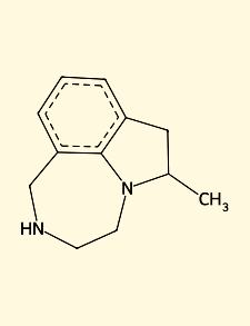 CC1Cc2cccc3c2N1CCNC3